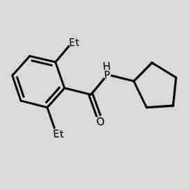 CCc1cccc(CC)c1C(=O)PC1CCCC1